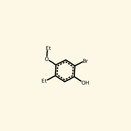 CCOc1cc(Br)c(O)cc1CC